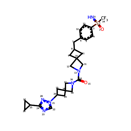 N=S(=O)(c1ccc(CC2CC3(C2)CN(C(=O)N2CC4(CC(n5cnc(C6CC6)n5)C4)C2)C3)cc1)C(F)(F)F